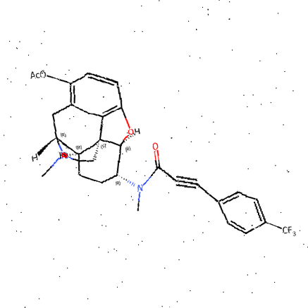 CC(=O)Oc1ccc2c3c1C[C@@H]1[C@@H]4CC[C@@H](N(C)C(=O)C#Cc5ccc(C(F)(F)F)cc5)[C@H](O2)[C@]34CCN1C